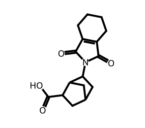 O=C(O)C1CC2CC1C(N1C(=O)C3=C(CCCC3)C1=O)C2